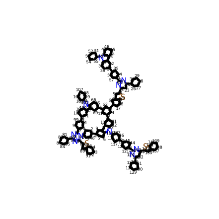 c1ccc(-c2ccc3c(c2)c2cc(-c4cc(-c5ccc6sc(-c7cc(-c8ccccc8)nc(-c8ccc(-c9ccc%10c(c9)c9ccccc9n%10-c9ccccc9)cc8)n7)cc6c5)cc(-c5ccc6c(c5)c5cc(-c7ccc(-c8nc(-c9ccccc9)nc(-c9cc%10ccccc%10s9)n8)cc7)ccc5n6-c5ccccc5)c4)ccc2n3-c2ccc(-c3ccc(-c4nc(-c5ccccc5)cc(-c5cc6ccccc6s5)n4)cc3)cc2)cc1